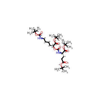 CC(C)(C)OC(=O)CC[C@H](NC(=O)O[C@@H](CCCCNC(=O)OC(C)(C)C)C(=O)OC(C)(C)C)C(=O)OC(C)(C)C